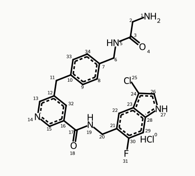 Cl.NCC(=O)NCc1ccc(Cc2cncc(C(=O)NCc3cc4c(Cl)c[nH]c4cc3F)c2)cc1